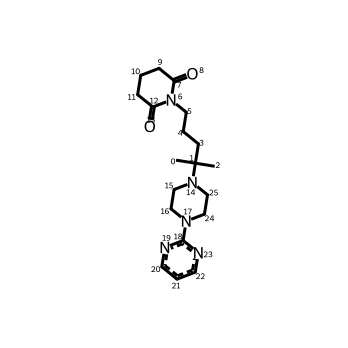 CC(C)(CCCN1C(=O)CCCC1=O)N1CCN(c2ncccn2)CC1